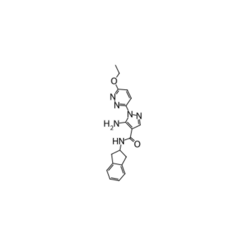 CCOc1ccc(-n2ncc(C(=O)NC3Cc4ccccc4C3)c2N)nn1